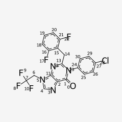 O=c1c2ncn(CC(F)(F)F)c2nc(Cc2c(F)cccc2F)n1-c1ccc(Cl)cc1